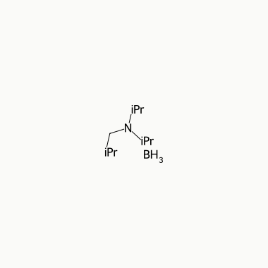 B.CC(C)CN(C(C)C)C(C)C